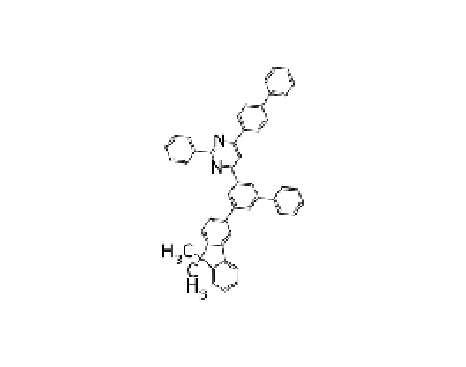 CC1(C)c2ccccc2-c2cc(-c3cc(-c4ccccc4)cc(-c4cc(-c5ccc(-c6ccccc6)cc5)nc(-c5ccccc5)n4)c3)ccc21